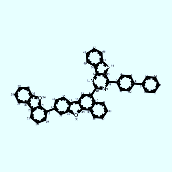 c1ccc(-c2ccc(-c3nc(-c4cc5c6ccc(-c7cccc8c7oc7ccccc78)cc6oc5c5ccccc45)nc4c3sc3ccccc34)cc2)cc1